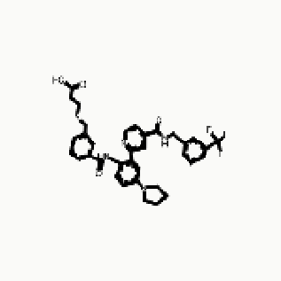 O=C(O)CCSCc1cccc(C(=O)Nc2ccc(N3CCCC3)cc2-c2cc(C(=O)NCc3cccc(C(F)(F)F)c3)ccn2)c1